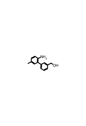 Cc1ccc(N)c(-c2cccc(CO)c2)c1